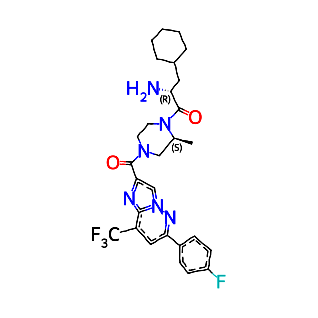 C[C@H]1CN(C(=O)c2cn3nc(-c4ccc(F)cc4)cc(C(F)(F)F)c3n2)CCN1C(=O)[C@H](N)CC1CCCCC1